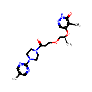 Cc1c(O[C@@H](C)COCCC(=O)N2CCN(c3ncc(C#N)cn3)CC2)cn[nH]c1=O